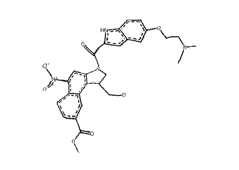 COC(=O)c1ccc2c([N+](=O)[O-])cc3c(c2c1)C(CCl)CN3C(=O)c1cc2cc(OCCN(C)C)ccc2[nH]1